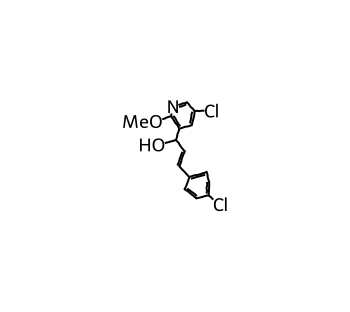 COc1ncc(Cl)cc1C(O)C=Cc1ccc(Cl)cc1